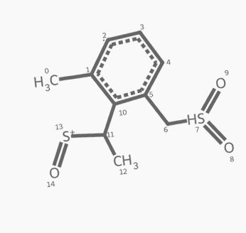 Cc1[c]ccc(C[SH](=O)=O)c1C(C)[S+]=O